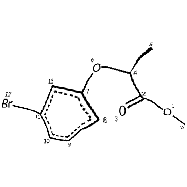 COC(=O)[C@H](C)Oc1cccc(Br)c1